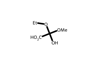 CCOC(O)(OC)C(=O)O